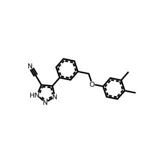 Cc1ccc(OCc2cccc(-c3nn[nH]c3C#N)c2)cc1C